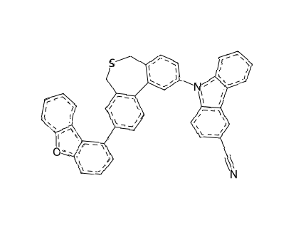 N#Cc1ccc2c(c1)c1ccccc1n2-c1ccc2c(c1)-c1ccc(-c3cccc4oc5ccccc5c34)cc1CSC2